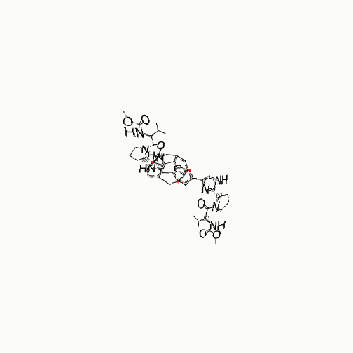 COC(=O)N[C@H](C(=O)N1CCC[C@H]1c1nc(-c2ccc(-c3cc4ccc3CCc3ccc(c(-c5c[nH]c([C@@H]6CCCN6C(=O)[C@@H](NC(=O)OC)C(C)C)n5)c3)C[C@H]4C)cc2)c[nH]1)C(C)C